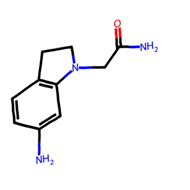 NC(=O)CN1CCc2ccc(N)cc21